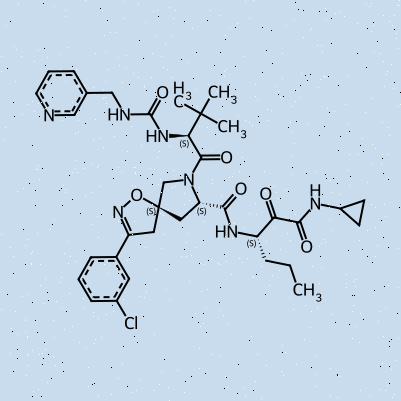 CCC[C@H](NC(=O)[C@@H]1C[C@]2(CC(c3cccc(Cl)c3)=NO2)CN1C(=O)[C@@H](NC(=O)NCc1cccnc1)C(C)(C)C)C(=O)C(=O)NC1CC1